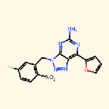 Nc1nc(-c2ccco2)c2nnn(Cc3cc(F)ccc3[N+](=O)[O-])c2n1